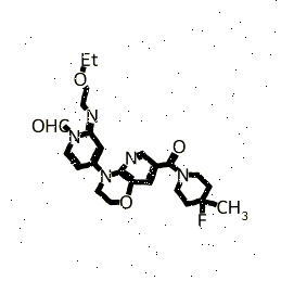 CCOCC/N=c1/cc(N2CCOc3cc(C(=O)N4CCC(C)(F)CC4)cnc32)ccn1C=O